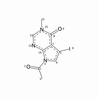 CC(=O)n1cc(I)c2c(=O)n(C)cnc21